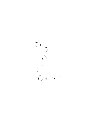 CC(C)(C)OC(=O)NCC(C)(C)c1cccc(C(=O)NCC(=O)Nc2nc(-c3cccc(-c4cc(Cl)cc(Cl)c4)c3)cs2)c1